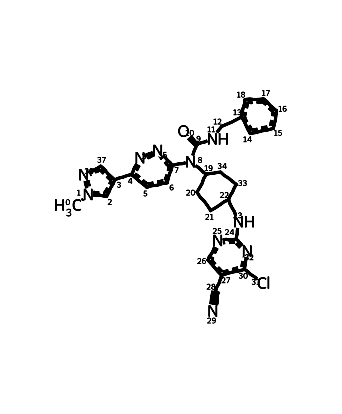 Cn1cc(-c2ccc(N(C(=O)NCc3ccccc3)C3CCC(Nc4ncc(C#N)c(Cl)n4)CC3)nn2)cn1